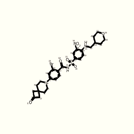 O=C1CC2(CCN(c3ccc(C(=O)NS(=O)(=O)c4ccc(NCC5CCOCC5)c([N+](=O)[O-])c4)c(Br)c3)CC2)C1